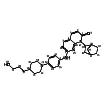 O=c1ccc2cnc(Nc3ccc(N4CCC(CCCO)CC4)cc3)nc2n1C1CC2CCC1C2